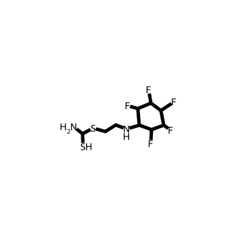 NC(S)SCCNC1C(F)C(F)C(F)C(F)C1F